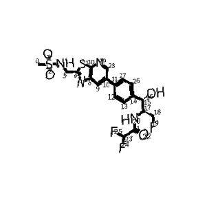 CS(=O)(=O)NCc1nc2cc(-c3ccc([C@H](O)[C@@H](CF)NC(=O)C(F)F)cc3)cnc2s1